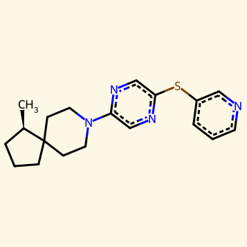 C[C@@H]1CCCC12CCN(c1cnc(Sc3cccnc3)cn1)CC2